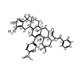 CN(C)c1ccc(C2=C3[C@@H]4CC(C)(C)CC[C@]4(C(=O)OCc4ccccc4)CC[C@@]3(C)[C@]3(C)CC[C@H]4C(C)(C)c5n[nH]c(N)c5C[C@]4(C)C3C2)cn1